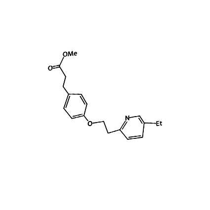 CCc1ccc(CCOc2ccc(CCC(=O)OC)cc2)nc1